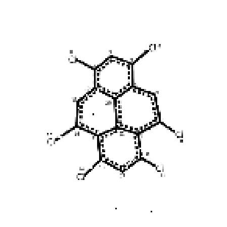 Clc1cc(Cl)c2cc(Cl)c3c(Cl)cc(Cl)c4c(Cl)cc1c2c43